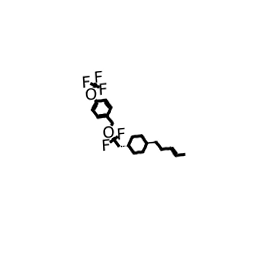 CC=CCC[C@H]1CC[C@H](CC(F)(F)OCc2ccc(OC(F)(F)F)cc2)CC1